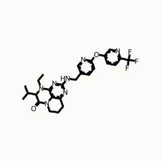 CCN1c2nc(NCc3ccc(Oc4ccc(C(F)(F)F)nc4)nc3)nc3c2N(CCC3)C(=O)C1C(C)C